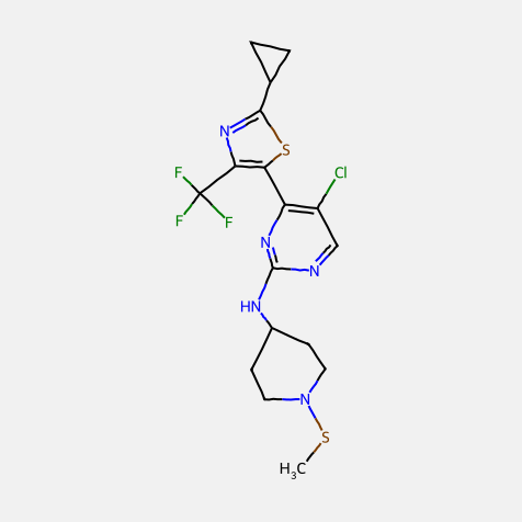 CSN1CCC(Nc2ncc(Cl)c(-c3sc(C4CC4)nc3C(F)(F)F)n2)CC1